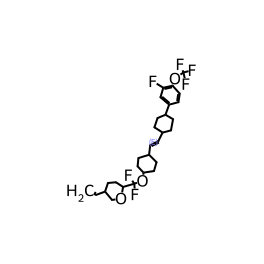 C=CC1CCC(C(F)(F)OC2CCC(/C=C/C3CCC(c4ccc(OC(F)(F)F)c(F)c4)CC3)CC2)OC1